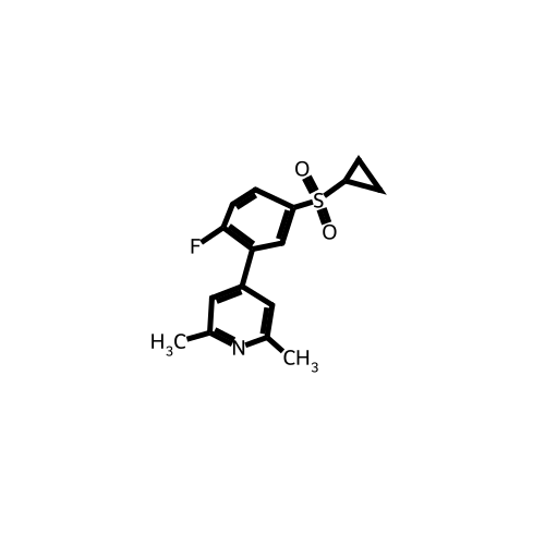 Cc1cc(-c2cc(S(=O)(=O)C3CC3)ccc2F)cc(C)n1